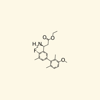 CCOC(=O)C[C@H](N)c1cc(-c2c(C)ccc(OC)c2C)cc(C)c1F